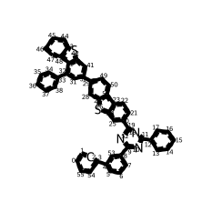 c1ccc(-c2cccc(-c3nc(-c4ccccc4)nc(-c4ccc5c(c4)sc4cc(-c6cc(-c7ccccc7)c7c(c6)sc6ccccc67)ccc45)n3)c2)cc1